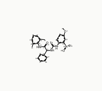 COc1ccc(NC(=S)NC(C(=O)Nc2c(C)cccc2C)c2ccccc2)c([N+](=O)[O-])c1